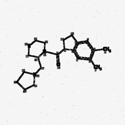 Cc1cc2c(cc1C)C(C(=O)N1CCSCC1CN1CCCC1)CC2